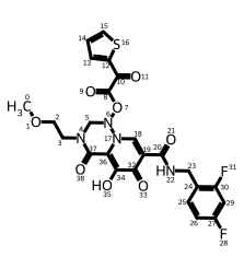 COCCN1CN(OC(=O)C(=O)c2cccs2)n2cc(C(=O)NCc3ccc(F)cc3F)c(=O)c(O)c2C1=O